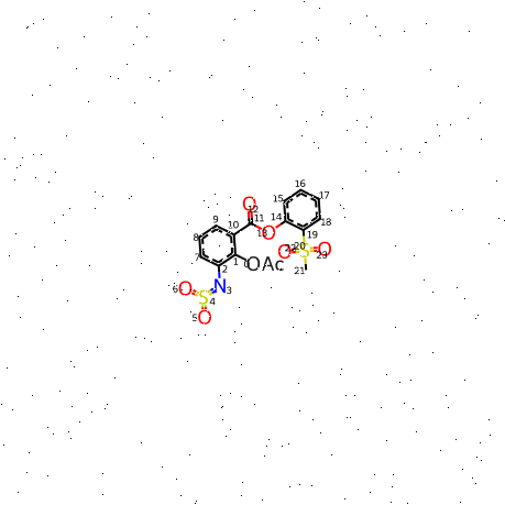 CC(=O)Oc1c(N=S(=O)=O)cccc1C(=O)Oc1ccccc1S(C)(=O)=O